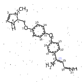 CN1C=CNC1COc1ccc(Oc2ccc(/C(N)=C/C=N)cc2)cc1